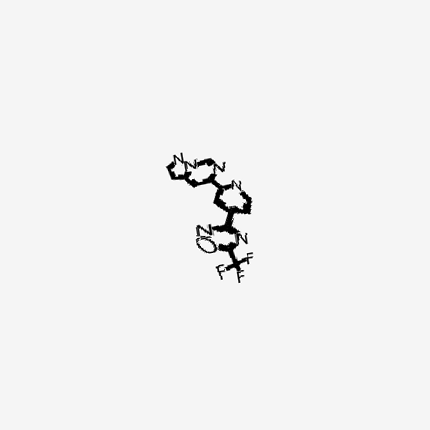 FC(F)(F)c1nc(-c2ccnc(-c3cc4ccnn4cn3)c2)no1